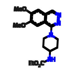 CCOC(=O)NC1CCN(c2nncc3cc(OC)c(OC)cc23)CC1